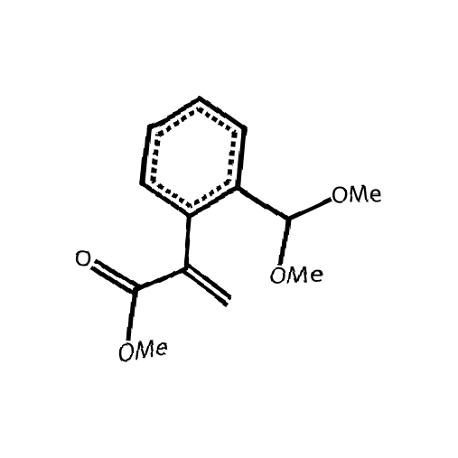 C=C(C(=O)OC)c1ccccc1C(OC)OC